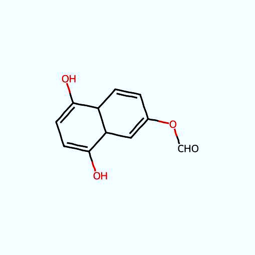 O=COC1=CC2C(O)=CC=C(O)C2C=C1